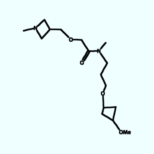 COC1CC(OCCCN(C)C(=O)COCC2CN(C)C2)C1